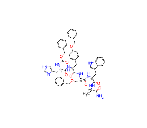 C[C@@H](NC(=O)[C@H](Cc1c[nH]c2ccccc12)NC(=O)[C@H](COCc1ccccc1)NC(=O)[C@H](Cc1ccc(OCc2ccccc2)cc1)NC(=O)[C@H](Cc1c[nH]cn1)NC(=O)OCc1ccccc1)C(N)=O